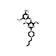 CCCCN1CCN(c2nc(OC)c(Sc3nc(N)cc(N)n3)c(OC)n2)CC1